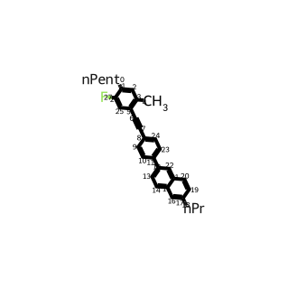 CCCCCc1cc(C)c(C#Cc2ccc(-c3ccc4cc(CCC)ccc4c3)cc2)cc1F